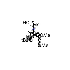 COCCCOc1cc(C(=NNC(=O)OC(C)(C)C)C(C/C=C/CC(C(=O)O)C(C)C)C(C)C)ccc1OC